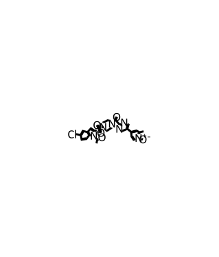 CC(=O)n1c(S(=O)(=O)N2CCN(C(=O)c3ncc(-c4cc[n+]([O-])c(C)c4)cn3)CC2)cc2cc(Cl)ccc21